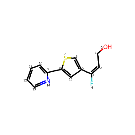 OC/C=C(/F)c1csc(-c2ccccn2)c1